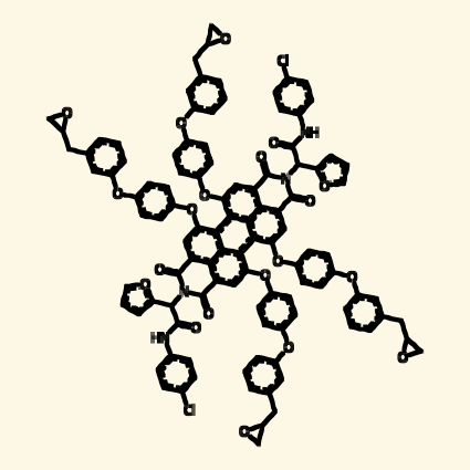 O=C(Nc1ccc(Cl)cc1)C(c1ccco1)N1C(=O)c2cc(Oc3ccc(Oc4cccc(CC5CO5)c4)cc3)c3c4c(Oc5ccc(Oc6cccc(CC7CO7)c6)cc5)cc5c6c(cc(Oc7ccc(Oc8cccc(CC9CO9)c8)cc7)c(c7c(Oc8ccc(Oc9cccc(CC%10CO%10)c9)cc8)cc(c2c37)C1=O)c64)C(=O)N(C(C(=O)Nc1ccc(Cl)cc1)c1ccco1)C5=O